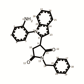 Nc1ccccc1-n1c(C2CC(=O)N(Cc3ccccc3)C2=O)cc2ccccc21